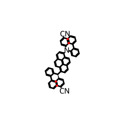 N#Cc1ccc([C@@H](c2ccccc2-c2ccccc2)c2ccc3ccc4c(N(c5ccc(C#N)cc5)c5ccccc5-c5ccccc5)ccc5ccc2c3c54)cc1